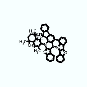 Cc1cc2c(cc1N1c3sc4ccccc4c3B3c4c(cc5c(c41)C(C)(C)c1ccccc1-5)-c1cccc4c5oc6ccccc6c5n3c14)C(C)(C)CCC2(C)C